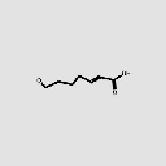 [O]CCCCC=CC(=O)O